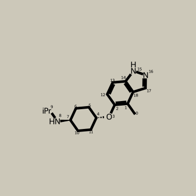 Cc1c(O[C@H]2CC[C@H](NC(C)C)CC2)ccc2[nH]ncc12